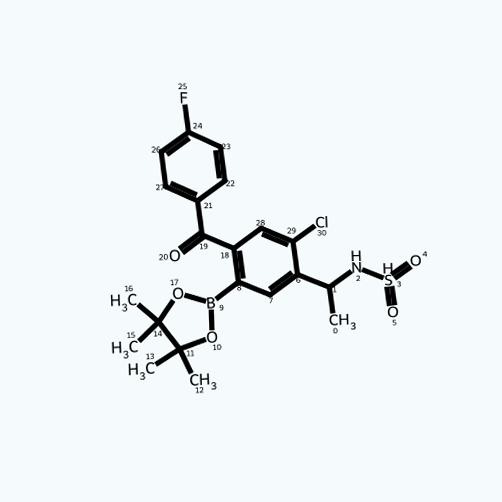 CC(N[SH](=O)=O)c1cc(B2OC(C)(C)C(C)(C)O2)c(C(=O)c2ccc(F)cc2)cc1Cl